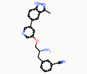 Cc1n[nH]c2ccc(-c3cncc(OC[C@@H](N)Cc4cccc(C#N)c4)c3)cc12